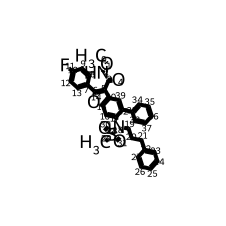 CONC(=O)c1c(-c2ccc(F)cc2)oc2cc(N(CCCc3ccccc3)S(C)(=O)=O)c(-c3ccccc3)cc12